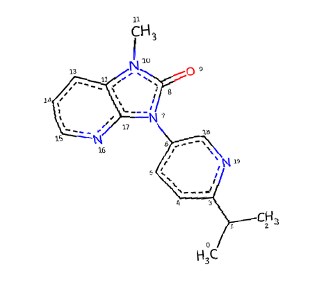 CC(C)c1ccc(-n2c(=O)n(C)c3cccnc32)cn1